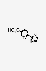 O=C(O)c1ccc(-c2ncc[nH]2)nc1